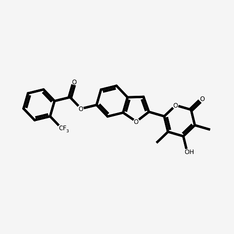 Cc1c(-c2cc3ccc(OC(=O)c4ccccc4C(F)(F)F)cc3o2)oc(=O)c(C)c1O